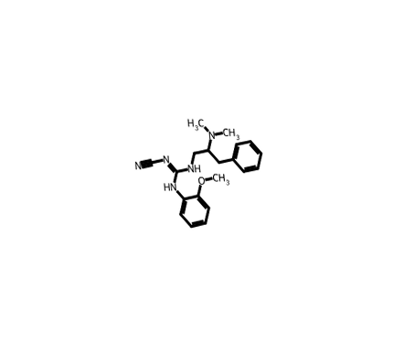 COc1ccccc1N/C(=N\C#N)NCC(Cc1ccccc1)N(C)C